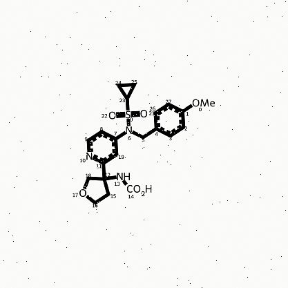 COc1ccc(CN(c2ccnc(C3(NC(=O)O)CCOC3)c2)S(=O)(=O)C2CC2)cc1